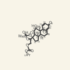 COC(=O)O[C@]1(C(=O)COC(=O)OC(C)C)CC[C@H]2[C@@H]3CCC4=CC(=O)C=C[C@]4(C)[C@H]3C(O)C[C@@]21C